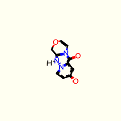 O=c1ccn2nc3n(c(=O)c2c1)C=COC3.[H+]